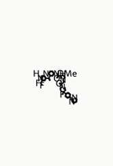 C=C(c1ccnc(C(F)F)c1)c1cc(NC(=O)[C@]2(OC)CCN(CC(=O)N3CCC(F)(c4ccc(-c5ncccn5)cc4)CC3)C2)ccc1N